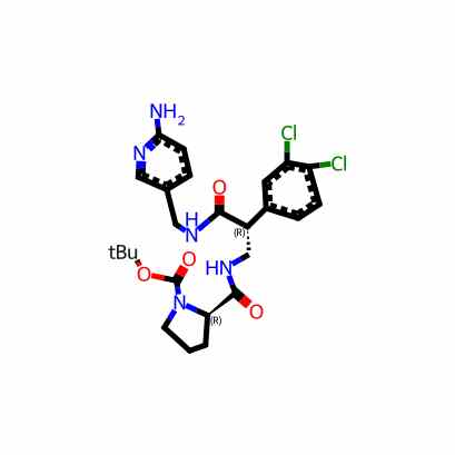 CC(C)(C)OC(=O)N1CCC[C@@H]1C(=O)NC[C@H](C(=O)NCc1ccc(N)nc1)c1ccc(Cl)c(Cl)c1